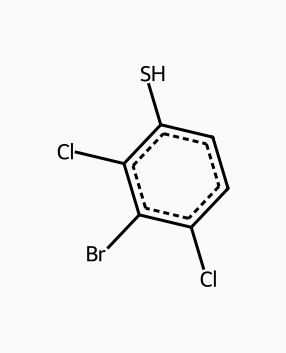 Sc1ccc(Cl)c(Br)c1Cl